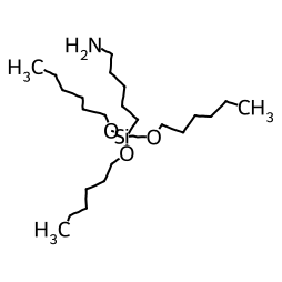 CCCCCCO[Si](CCCCCN)(OCCCCCC)OCCCCCC